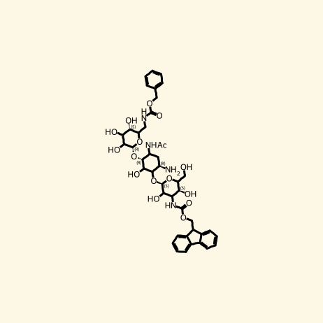 CC(=O)NC1C[C@@H](N)C(O[C@H]2OC(CO)[C@@H](O)C(NC(=O)OCC3c4ccccc4-c4ccccc43)C2O)C(O)[C@@H]1O[C@H]1OC(CNC(=O)OCc2ccccc2)[C@@H](O)C(O)C1O